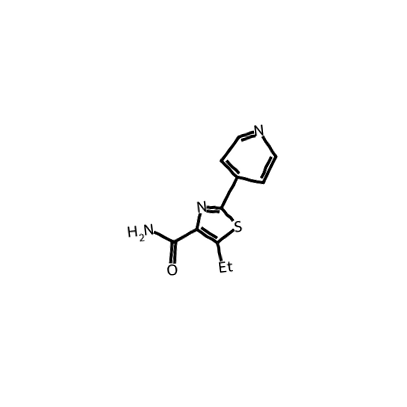 CCc1sc(-c2ccncc2)nc1C(N)=O